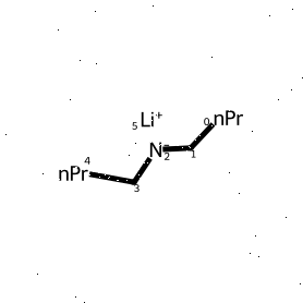 CCCC[N-]CCCC.[Li+]